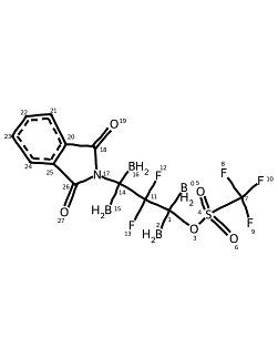 BC(B)(OS(=O)(=O)C(F)(F)F)C(F)(F)C(B)(B)N1C(=O)c2ccccc2C1=O